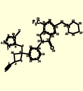 C#CC1CC(Cc2nncn2C)(c2cccc(N3Cc4c(cc(CN5CCCCC5)cc4C(F)(F)F)C3=O)c2)C1